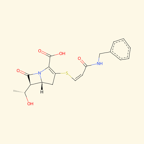 C[C@@H](O)[C@H]1C(=O)N2C(C(=O)O)=C(S/C=C\C(=O)NCc3ccccc3)C[C@H]12